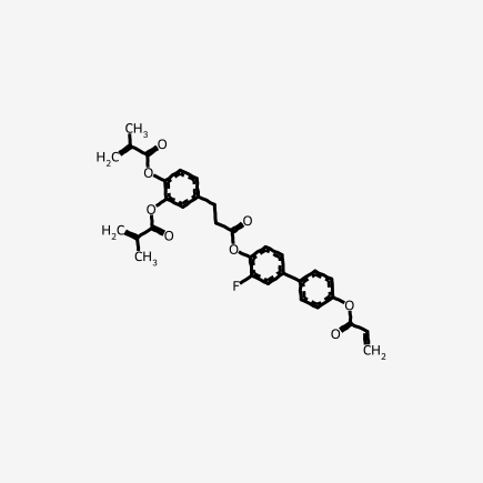 C=CC(=O)Oc1ccc(-c2ccc(OC(=O)CCc3ccc(OC(=O)C(=C)C)c(OC(=O)C(=C)C)c3)c(F)c2)cc1